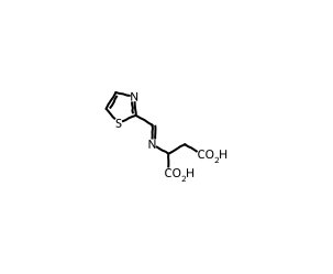 O=C(O)CC(N=Cc1nccs1)C(=O)O